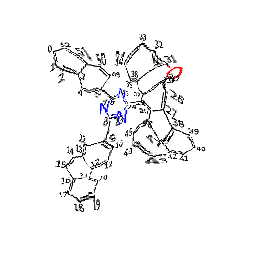 c1ccc2cc(-c3nc(-c4ccc5c(ccc6ccccc65)c4)nc(-c4c5c(cc6oc7ccccc7c46)-c4cccc6cccc-5c46)n3)ccc2c1